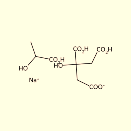 CC(O)C(=O)O.O=C([O-])CC(O)(CC(=O)O)C(=O)O.[Na+]